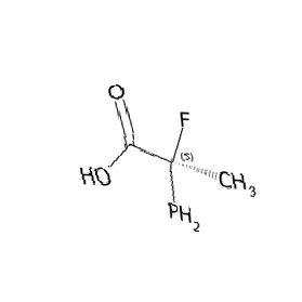 C[C@](F)(P)C(=O)O